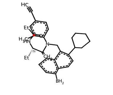 Bc1cccc2c(CN(C(=C)[C@H](CC)NC(=O)CC)c3ccc(C#C)cc3C)c(C3CCCCC3)ccc12